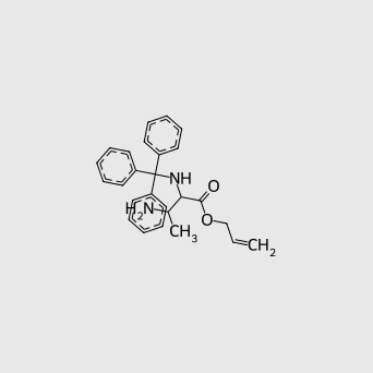 C=CCOC(=O)C(NC(c1ccccc1)(c1ccccc1)c1ccccc1)C(C)N